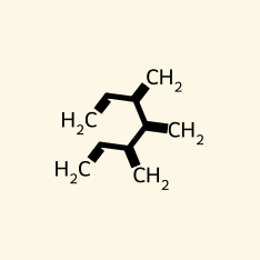 C=CC(=C)C(=C)C(=C)C=C